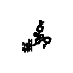 [2H]C([2H])([2H])NCc1cc(-c2ccccc2F)n(S(=O)(=O)c2ccc(Br)cc2)c1